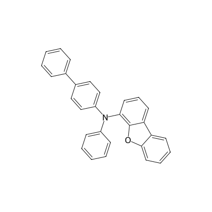 c1ccc(-c2ccc(N(c3ccccc3)c3cccc4c3oc3ccccc34)cc2)cc1